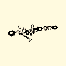 CN(C)CCCC[C@H](CSc1ccccc1)Nc1ccc(S(=O)(=O)NC(=O)c2ccc(N3CCC(O)(Cc4ccccc4)CC3)cc2)cc1[N+](=O)[O-]